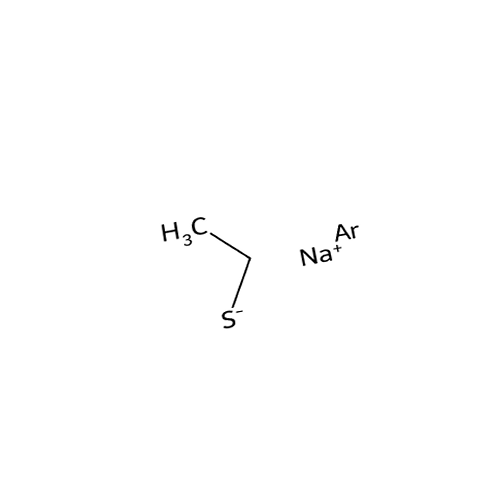 CC[S-].[Ar].[Na+]